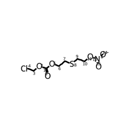 O=C(OCCl)OCCSCCO[N+](=O)[O-]